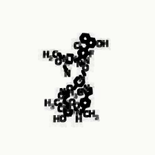 C=CC(=O)N1CCN(c2nc(OCCN3CCC(COc4cc([C@H](C(=O)N5C[C@H](O)C[C@H]5C(=O)N[C@@H](C)c5ccc(-c6ccnn6C)cc5)C(C)C)on4)CC3)nc3c(F)c(-c4cc(O)cc5ccccc45)c(Cl)cc23)C[C@@H]1CC#N